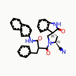 N#C[C@@H]1C[C@@]2(CN1C(=O)C(Cc1ccccc1)C(=O)Nc1ccc3ccccc3c1)C(=O)Nc1ccccc12